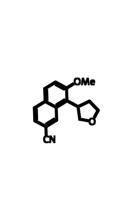 COc1ccc2ccc(C#N)cc2c1C1CCOC1